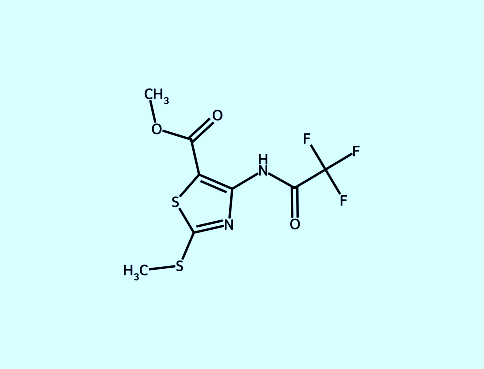 COC(=O)c1sc(SC)nc1NC(=O)C(F)(F)F